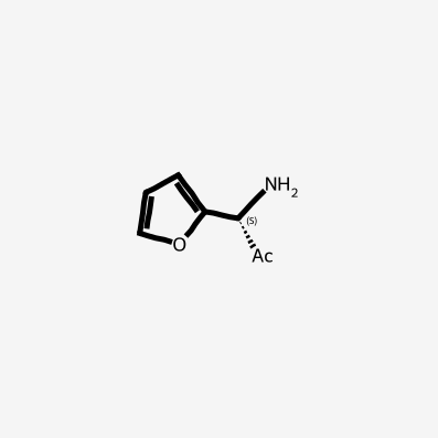 CC(=O)[C@@H](N)c1ccco1